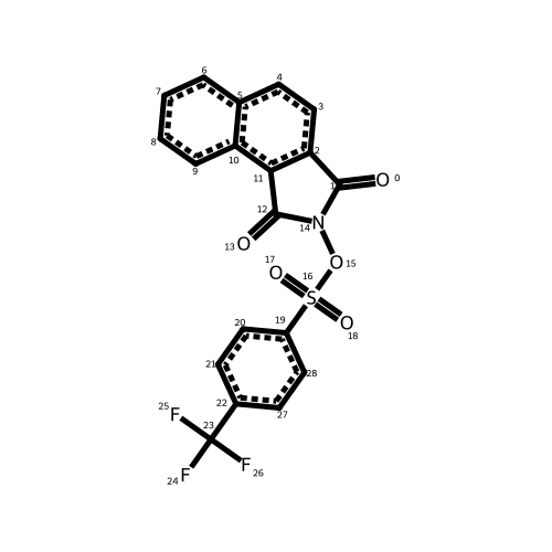 O=C1c2ccc3ccccc3c2C(=O)N1OS(=O)(=O)c1ccc(C(F)(F)F)cc1